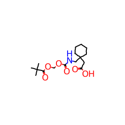 CC(C)(C)C(=O)OCOC(=O)NCC1(CC(=O)O)CCCCC1